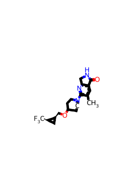 Cc1cc2c(nc1N1CCC(OC[C@H]3C[C@@H]3C(F)(F)F)CC1)CNC2=O